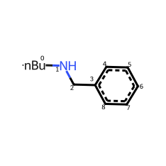 [CH2]CC[CH]NCc1ccccc1